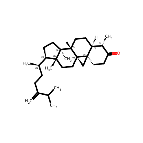 C=C(CC[C@@H](C)[C@H]1CC[C@@]2(C)[C@@H]3CC[C@H]4[C@H](C)C(=O)CC[C@@]45C[C@@]35CC[C@]12C)C(C)C